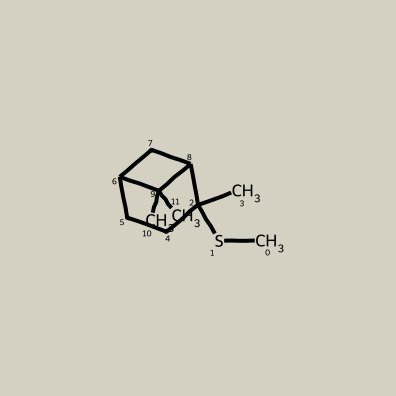 CSC1(C)CCC2CC1C2(C)C